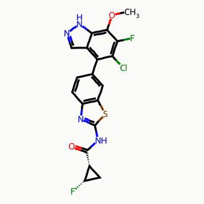 COc1c(F)c(Cl)c(-c2ccc3nc(NC(=O)[C@@H]4C[C@@H]4F)sc3c2)c2cn[nH]c12